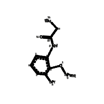 CCCCCOc1c(CCC)cccc1NC(=O)CC(C)(C)C